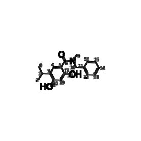 CC(C)c1cc(C(=O)N(C)Cc2ccccc2)c(O)cc1O